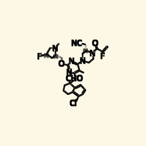 C=C(F)C(=O)N1CCN(c2nc(OC[C@@H]3C[C@@H](F)CN3C)nc(CC3(C=O)CCCc4c(Cl)cccc43)c2C)C[C@@H]1CC#N